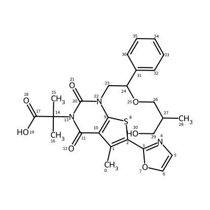 Cc1c(-c2ncco2)sc2c1c(=O)n(C(C)(C)C(=O)O)c(=O)n2CC(OCC(C)CO)c1ccccc1